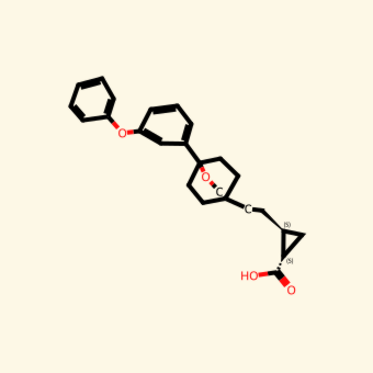 O=C(O)[C@H]1C[C@@H]1CCC12CCC(c3cccc(Oc4ccccc4)c3)(CC1)OC2